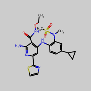 CCONC(=O)c1c(Nc2ccc(C3CC3)cc2N(C)S(C)(=O)=O)cc(-c2nccs2)nc1N